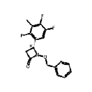 Cc1c(F)c(F)cc([C@H]2CC(=O)N2OCc2ccccc2)c1F